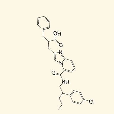 CCCC(CNC(=O)c1cccc2nc(CC(Cc3ccccc3)C(=O)O)cn12)c1ccc(Cl)cc1